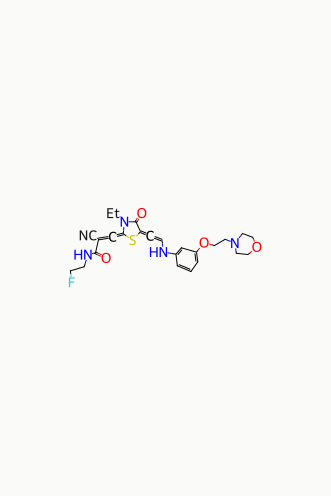 CCn1c(=C=C(C#N)C(=O)NCCF)sc(=C=CNc2cccc(OCCN3CCOCC3)c2)c1=O